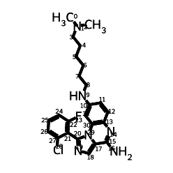 CN(C)CCCCCCNc1ccc2nc(N)c3cnc(-c4c(F)cccc4Cl)n3c2c1